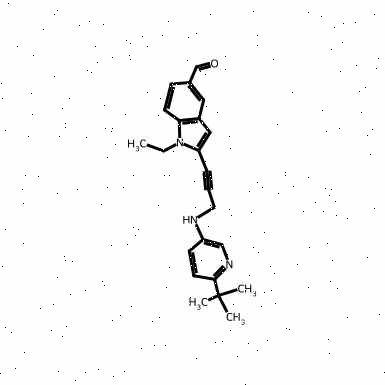 CCn1c(C#CCNc2ccc(C(C)(C)C)nc2)cc2cc(C=O)ccc21